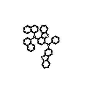 c1ccc(N(c2ccc3c(c2)sc2ccccc23)c2ccc(N(c3cccc4ccccc34)c3cccc4ccccc34)c3c2sc2ccccc23)cc1